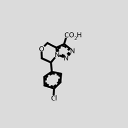 O=C(O)c1nnn2c1COCC2c1ccc(Cl)cc1